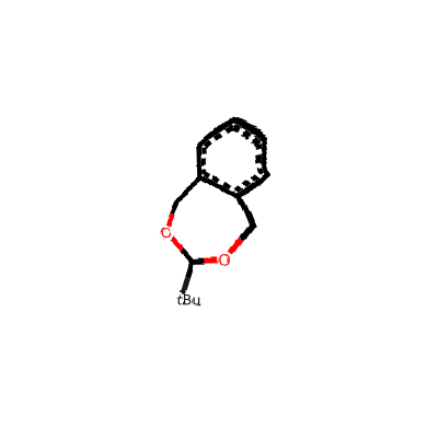 CC(C)(C)C1OCc2ccccc2CO1